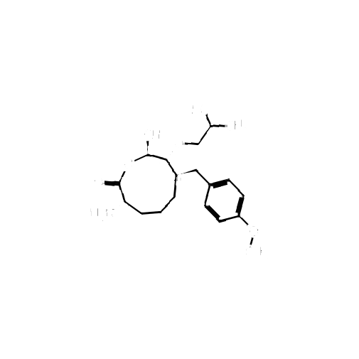 COc1ccc(C[C@H]2CCC[C@H](N)C(=O)O[C@@H](C)[C@@H]2OCC(C)C)cc1